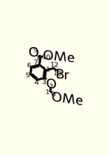 COCOc1cccc(C(=O)OC)c1CBr